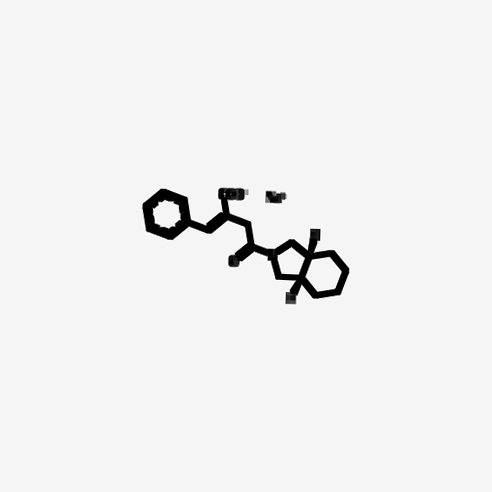 O=C([O-])C(=Cc1ccccc1)CC(=O)N1C[C@H]2CCCC[C@H]2C1.[Na+]